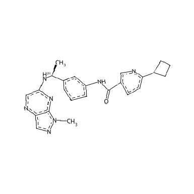 C[C@H](Nc1cnc2cnn(C)c2n1)c1cccc(NC(=O)c2ccc(C3CCC3)nc2)c1